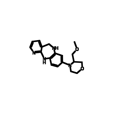 COCC1COCCN1c1ccc2c(c1)NCc1cccnc1N2